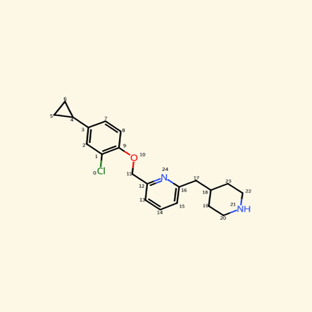 Clc1cc(C2CC2)ccc1OCc1cccc(CC2CCNCC2)n1